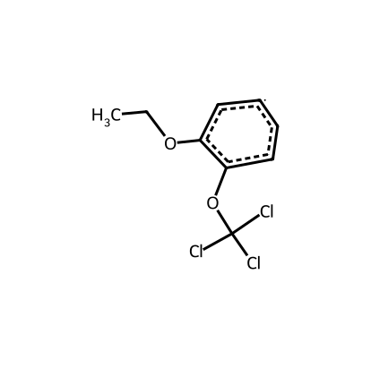 CCOc1c[c]ccc1OC(Cl)(Cl)Cl